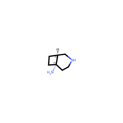 N[C@@]12CCNC[C@@H]1CC2